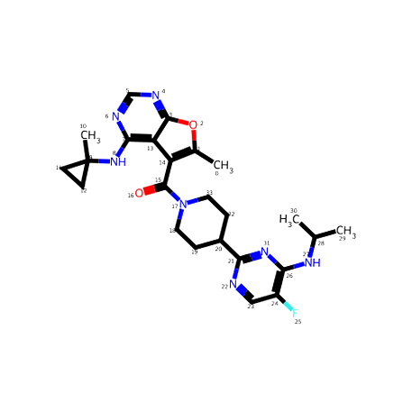 Cc1oc2ncnc(NC3(C)CC3)c2c1C(=O)N1CCC(c2ncc(F)c(NC(C)C)n2)CC1